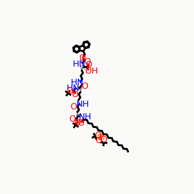 CCCCCCCCCCC(CCCCCCCC(=O)N[C@@H](CCC(=O)NCCCC[C@H](NC(=O)OC(C)(C)C)C(=O)NCCCC[C@H](NC(=O)OCC1c2ccccc2-c2ccccc21)C(=O)O)C(=O)OC(C)(C)C)P(=O)(OC(C)(C)C)OC(C)(C)C